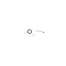 O=Cc1c([N+](=O)[O-])ccc(OCCCCC(=O)Cl)c1Cl